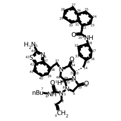 C=CCN(C(=O)NCCCC)N1CC(=O)N2[C@@H](Cc3ccc(NC(=O)c4cccc5ccccc45)cc3)C(=O)N(Cc3cccc4sc(N)nc34)C[C@@H]21